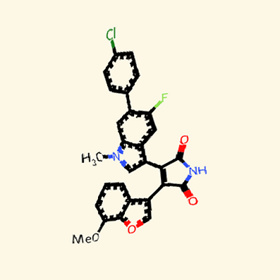 COc1cccc2c(C3=C(c4cn(C)c5cc(-c6ccc(Cl)cc6)c(F)cc45)C(=O)NC3=O)coc12